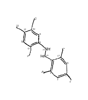 Cc1cc(C)c(NNc2cc(C)c(C)cc2C)c(C)c1